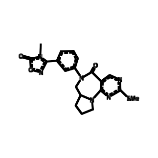 CSc1ncc2c(n1)N1CCCC1CN(c1cccc(-c3noc(=O)n3C)c1)C2=O